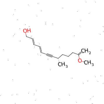 C=C(CCC[C@H](C)C#C/C=C/C=C/CO)OC